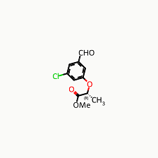 COC(=O)[C@@H](C)Oc1cc(Cl)cc(C=O)c1